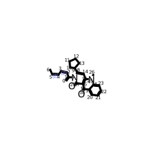 C=C(/C=C\C=C/C)n1c(C2CCCC2)cc2c(c(=O)c3ccccc3n2C)c1=O